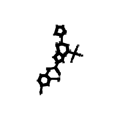 O=C(Nc1ccc(Cl)cc1Cl)c1cc2nc(-c3ccco3)cc(C(F)(F)F)n2n1